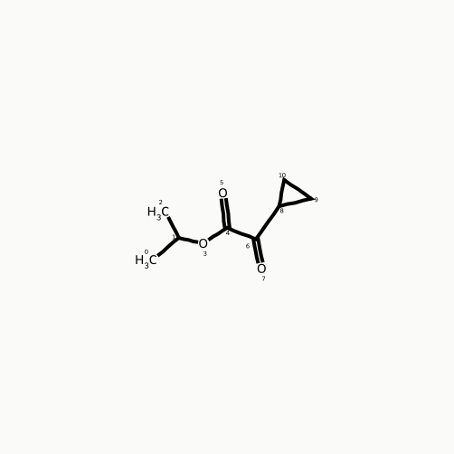 CC(C)OC(=O)C(=O)C1CC1